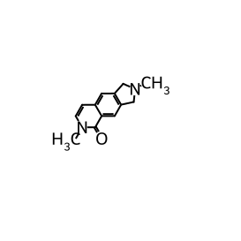 CN1Cc2cc3ccn(C)c(=O)c3cc2C1